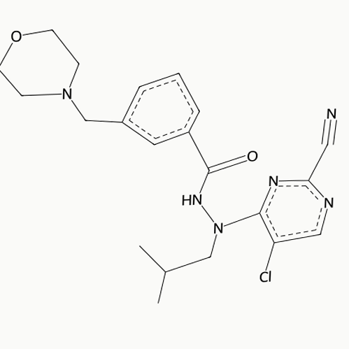 CC(C)CN(NC(=O)c1cccc(CN2CCOCC2)c1)c1nc(C#N)ncc1Cl